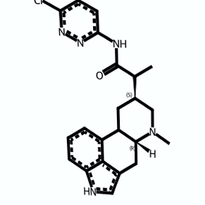 CC(C(=O)Nc1ccc(Cl)nn1)[C@@H]1CC2c3cccc4[nH]cc(c34)C[C@H]2N(C)C1